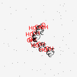 C=C(C)C(=O)O.OCC1(CO)CCCCCCCCCCCCCC1.OCC1(CO)CCCCCCCCCCCCCC1.OCC1(CO)CCCCCCCCCCCCCC1.OCC1(CO)CCCCCCCCCCCCCC1.OCC1(CO)CCCCCCCCCCCCCC1